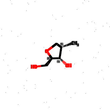 C[C@H]1CO[C@H](CO)[C@H]1O